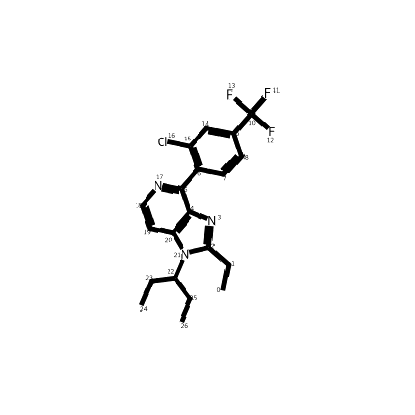 CCc1nc2c(-c3ccc(C(F)(F)F)cc3Cl)nccc2n1C(CC)CC